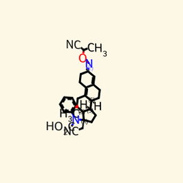 CC(C#N)O/N=C1/C=C2CC[C@@H]3C(=C2CC1)CC[C@@]1(C)[C@H]3CC[C@]1(CC#N)N(C(=O)O)c1ccccc1